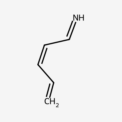 C=C/C=C\C=N